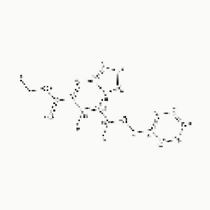 CCOC(=O)c1cc2cccn2c(C(C)OCc2ccncc2)c1C